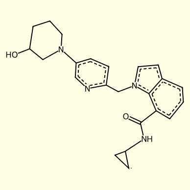 O=C(NC1[CH]C1)c1cccc2ccn(Cc3ccc(N4CCCC(O)C4)cn3)c12